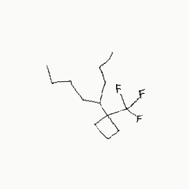 CCCCC(CCC)C1(C(F)(F)F)CCC1